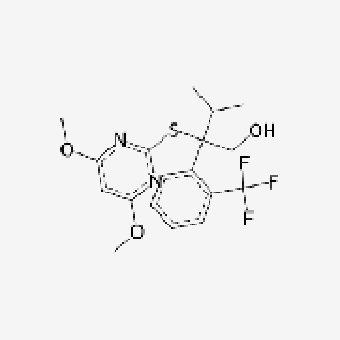 COc1cc(OC)nc(SC(CO)(c2ccccc2C(F)(F)F)C(C)C)n1